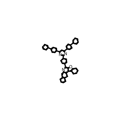 c1ccc(-c2ccc(-c3cc(-c4ccc(-c5ccccc5)cc4)nc(-c4ccc(-c5nc6cc7ccccc7cc6c6c5oc5ccccc56)cc4)n3)cc2)cc1